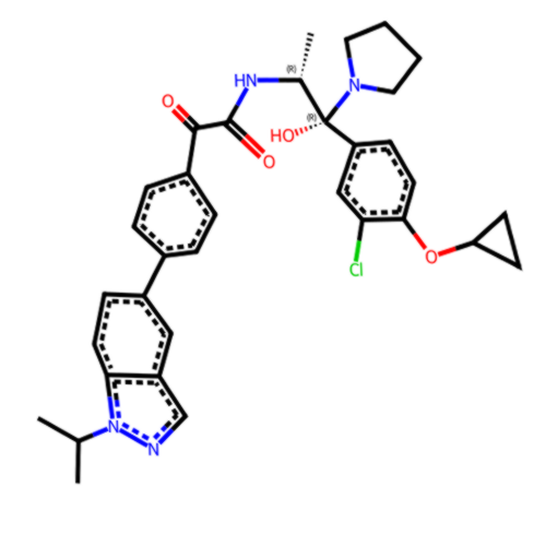 CC(C)n1ncc2cc(-c3ccc(C(=O)C(=O)N[C@H](C)[C@](O)(c4ccc(OC5CC5)c(Cl)c4)N4CCCC4)cc3)ccc21